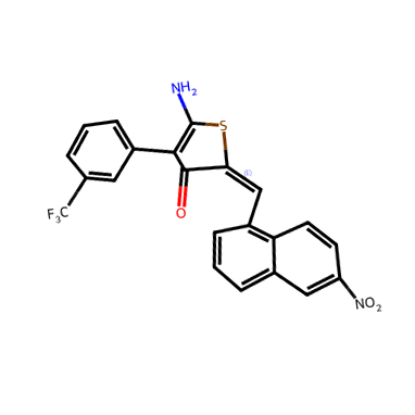 NC1=C(c2cccc(C(F)(F)F)c2)C(=O)/C(=C\c2cccc3cc([N+](=O)[O-])ccc23)S1